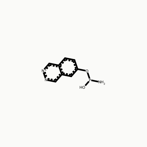 NP(O)Oc1ccc2cnncc2c1